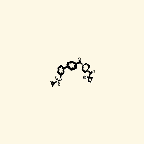 O=C(c1ccc(-c2cccc(OS(=O)(=O)C3CC3)c2)cc1)N1CCN(C(=O)C2(O)COC2)CC1